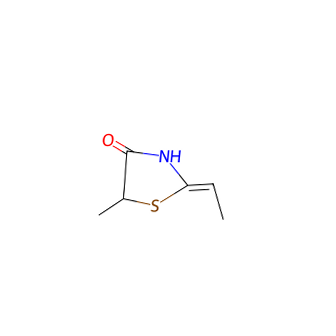 CC=C1NC(=O)C(C)S1